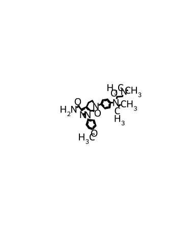 COc1ccc(-n2nc(C(N)=O)c3c2C(=O)N(c2ccc(N(C(=O)CN(C)C)C(C)C)cc2)CC3)cc1